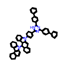 C1=CCC2C(=C1)C=C1C(C3=C(CCC=C3)N1C1=CC=C(C3=NC(c4ccc(-c5ccccc5)cc4)=NC(C4=CC=C(c5ccccc5)CC4)N3)CC1)C2n1c2c(c3c4c(ccc31)CCC=C4)C=CCC2